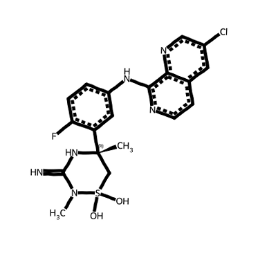 CN1C(=N)N[C@](C)(c2cc(Nc3nccc4cc(Cl)cnc34)ccc2F)CS1(O)O